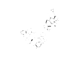 C#CC(C)Oc1cc(N2C(=O)C3=C(CCCC3)C2=O)c(F)cc1Cl.CCc1cccc(C)c1N(C(=O)CCl)C(C)COC.CS(=O)(=O)c1cc(C(F)(F)F)ccc1C(=O)c1cnoc1C1CC1